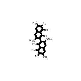 COc1cc2cc(C)c(C(C)=O)c(O)c2c(O)c1-c1c(OC)cc2cc(C)c(C(C)=O)c(O)c2c1O